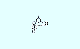 CC1=CC2=C3COCC3CC(C3CC(=O)OC3=O)C2C=C1